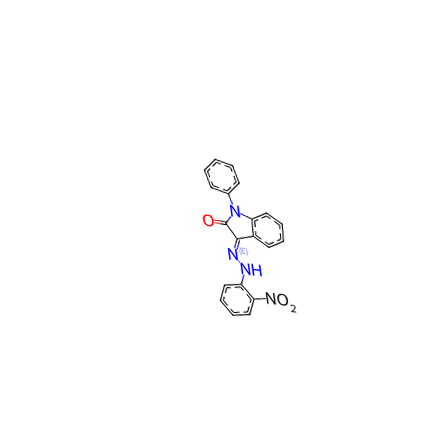 O=C1/C(=N/Nc2ccccc2[N+](=O)[O-])c2ccccc2N1c1ccccc1